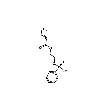 CC=CC(=O)OCCOP(=O)(O)c1ccccc1